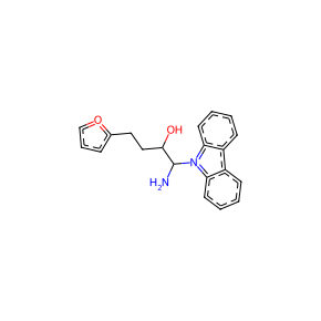 NC(C(O)CCc1ccco1)n1c2ccccc2c2ccccc21